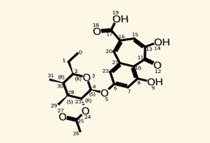 CC[C@H]1O[C@@H](Oc2cc(O)c3c(=O)c(O)cc(C(=O)O)cc3c2)[C@H](OC(C)=O)[C@@H](C)[C@H]1C